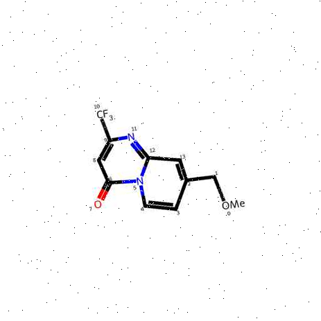 COCc1ccn2c(=O)cc(C(F)(F)F)nc2c1